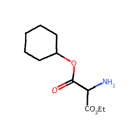 CCOC(=O)C(N)C(=O)OC1CCCCC1